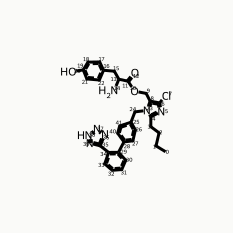 CCCCc1nc(Cl)c(COC(=O)C(N)Cc2ccc(O)cc2)n1Cc1ccc(-c2ccccc2-c2nn[nH]n2)cc1